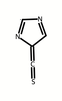 S=C=C1C=N[C]=N1